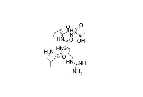 CC[C@H](C)[C@H](NC(=O)[C@@H](CCCNC(=N)N)NC(=O)[C@@H](N)CC(C)C)C(=O)N[C@H]([C]=O)[C@H](C)O